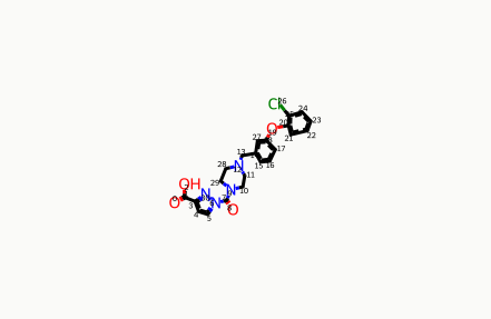 O=C(O)c1ccn(C(=O)N2CCN(Cc3cccc(Oc4ccccc4Cl)c3)CC2)n1